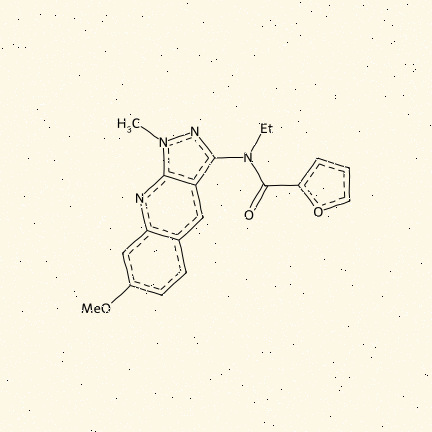 CCN(C(=O)c1ccco1)c1nn(C)c2nc3cc(OC)ccc3cc12